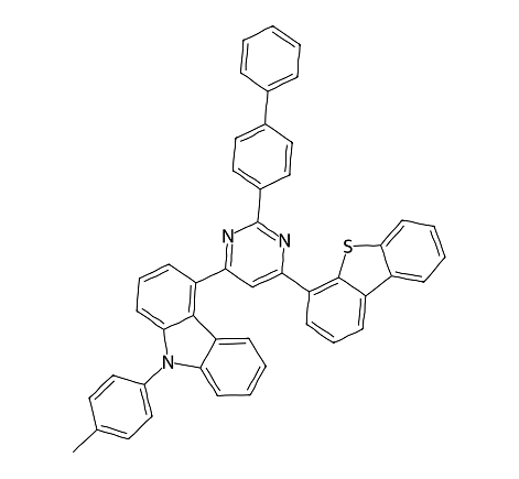 Cc1ccc(-n2c3ccccc3c3c(-c4cc(-c5cccc6c5sc5ccccc56)nc(-c5ccc(-c6ccccc6)cc5)n4)cccc32)cc1